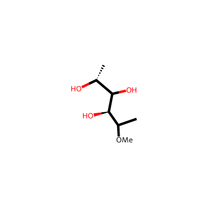 COC(C)[C@@H](O)C(O)[C@@H](C)O